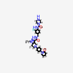 CC(C)n1nc(C(=O)NCc2ccc(NC(=O)N3CCNCC3)c(F)c2)c2c1[C@@H](C)CN(c1ccc(-n3ccccc3=O)cc1)C2